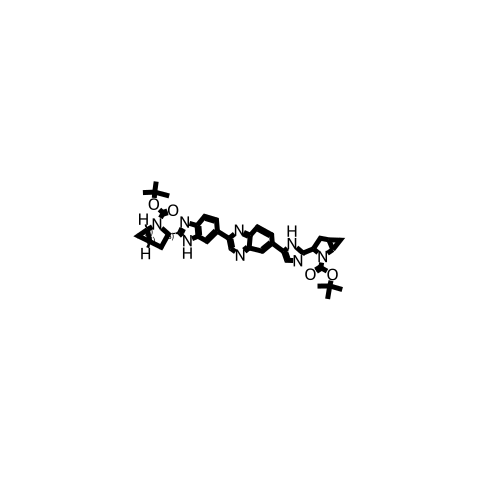 CC(C)(C)OC(=O)N1C(c2ncc(-c3ccc4nc(-c5ccc6nc([C@@H]7C[C@@H]8C[C@H]8N7C(=O)OC(C)(C)C)[nH]c6c5)cnc4c3)[nH]2)CC2CC21